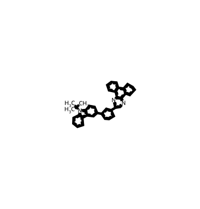 CC(C)(C)n1c2ccccc2c2cc(-c3cccc(-c4cnc5c6ccccc6c6ccccc6c5n4)c3)ccc21